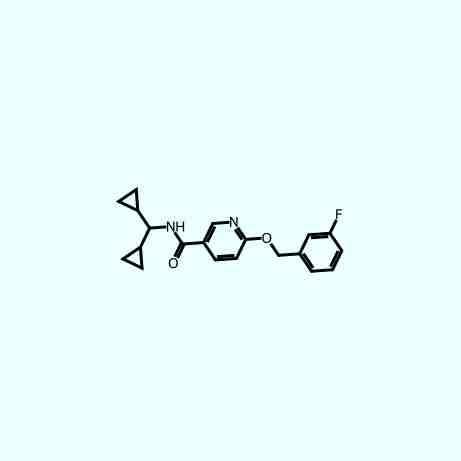 O=C(NC(C1CC1)C1CC1)c1ccc(OCc2cccc(F)c2)nc1